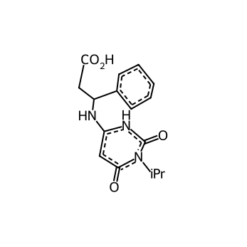 CC(C)n1c(=O)cc(NC(CC(=O)O)c2ccccc2)[nH]c1=O